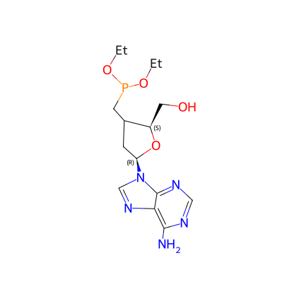 CCOP(CC1C[C@H](n2cnc3c(N)ncnc32)O[C@@H]1CO)OCC